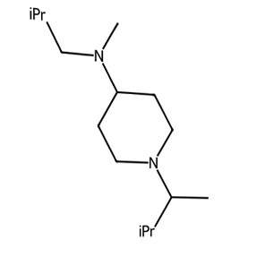 CC(C)CN(C)C1CCN(C(C)C(C)C)CC1